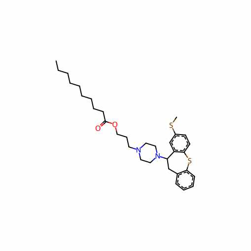 CCCCCCCCCC(=O)OCCCN1CCN(C2Cc3ccccc3Sc3ccc(SC)cc32)CC1